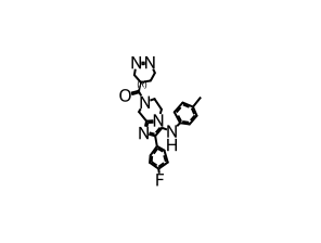 Cc1ccc(Nc2c(-c3ccc(F)cc3)nc3n2CCN(C(=O)[C@@H]2CCN=NC2)C3)cc1